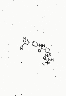 N#Cc1cncc(-c2ccc(NC(=O)C3CCc4sc(NS(=O)(=O)C5CC5)nc43)cc2)c1